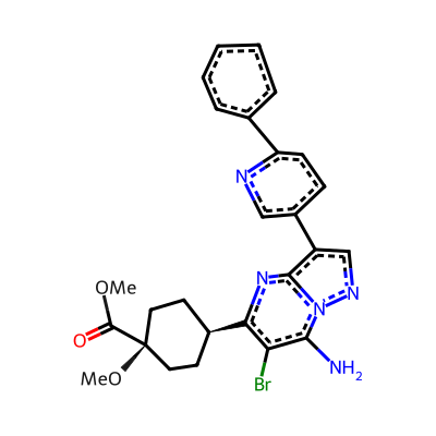 COC(=O)[C@]1(OC)CC[C@@H](c2nc3c(-c4ccc(-c5ccccc5)nc4)cnn3c(N)c2Br)CC1